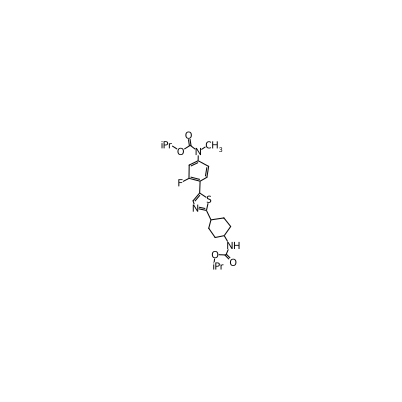 CC(C)OC(=O)NC1CCC(c2ncc(-c3ccc(N(C)C(=O)OC(C)C)cc3F)s2)CC1